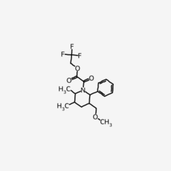 COCC1CC(C)C(C)N(C(=O)C(=O)OCC(F)(F)F)C1c1ccccc1